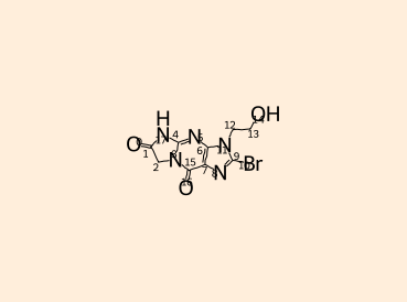 O=C1Cn2c(nc3c(nc(Br)n3CCO)c2=O)N1